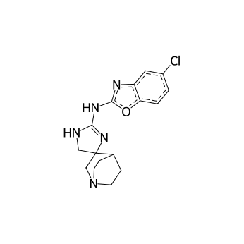 Clc1ccc2oc(NC3=NC4(CN3)CN3CCC4CC3)nc2c1